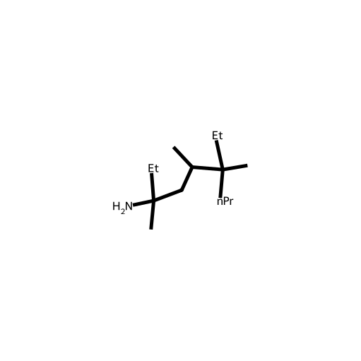 CCCC(C)(CC)C(C)CC(C)(N)CC